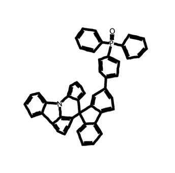 O=P(c1ccccc1)(c1ccccc1)c1ccc(-c2ccc3c(c2)C2(c4ccccc4-3)c3ccccc3-n3c4ccccc4c4cccc2c43)cc1